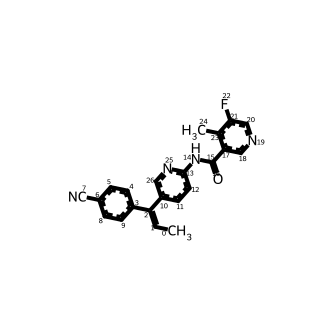 CC=C(c1ccc(C#N)cc1)c1ccc(NC(=O)c2cncc(F)c2C)nc1